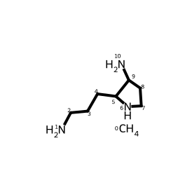 C.NCCCC1NCCC1N